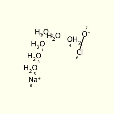 O.O.O.O.O.O.[Na+].[O-]Cl